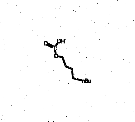 CCCCCCCC[O][Ti](=[O])[OH]